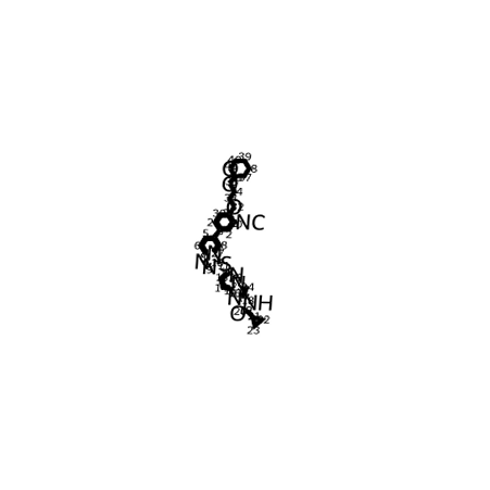 [C-]#[N+]c1cc(-c2ccc3nnc(Sc4ccc5nc(NC(=O)C6CC6)cn5n4)n3c2)ccc1OCCOC1CCCCO1